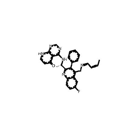 C/C=C\C=N/Cc1c(-c2ccccc2)c([C@H](C)Nc2ncnc3[nH]ccc(=O)c23)nc2ccc(F)cc12